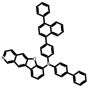 c1ccc(-c2ccc(N(c3ccc(-c4ccc(-c5ccccc5)c5ccccc45)cc3)c3cccc4c3oc3cc5ccncc5cc34)cc2)cc1